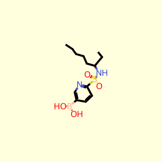 CCCCCC(CC)NS(=O)(=O)c1ccc(B(O)O)cn1